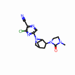 CN1CCN(C2CC3CC2N(c2cnc(C#N)c(Cl)n2)C3)C1=O